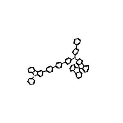 c1ccc(-c2ccc(N(c3ccc(-c4ccc(-c5ccc(-c6ccc7c(c6)c6ccccc6n7-c6ccccc6)cc5)cc4)cc3)c3ccc4c(c3)C3(c5ccccc5-c5ccccc53)c3ccccc3-4)cc2)cc1